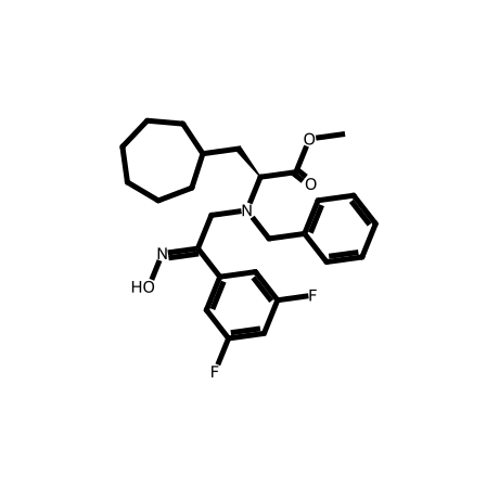 COC(=O)[C@H](CC1CCCCCC1)N(C/C(=N/O)c1cc(F)cc(F)c1)Cc1ccccc1